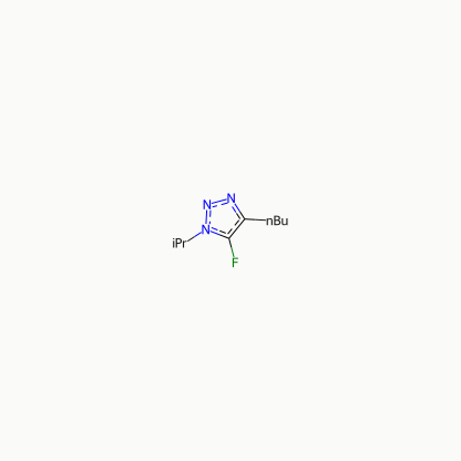 CCCCc1nnn(C(C)C)c1F